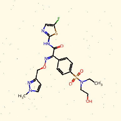 CCN(CCO)S(=O)(=O)c1ccc(/C(=N\OCc2ccn(C)n2)C(=O)Nc2ncc(F)s2)cc1